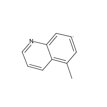 Cc1c[c]cc2ncccc12